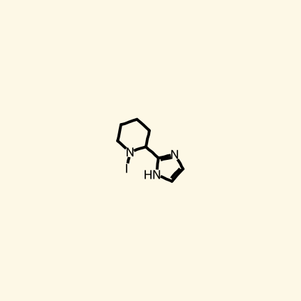 IN1CCCCC1c1ncc[nH]1